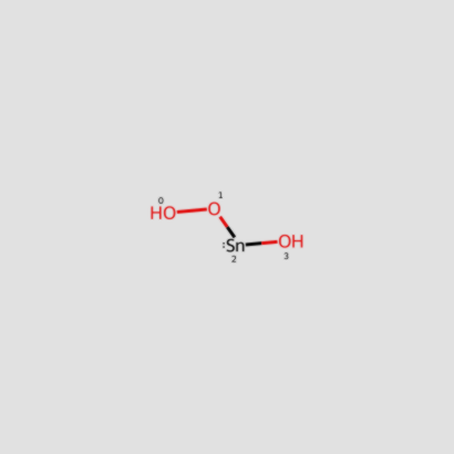 O[O][Sn][OH]